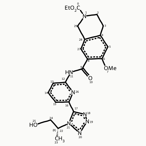 CCOC(=O)N1CCc2cc(OC)c(C(=O)Nc3cccc(-c4nnnn4[C@H](C)CO)n3)cc2C1